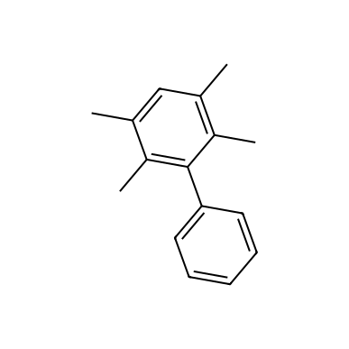 Cc1cc(C)c(C)c(-c2ccccc2)c1C